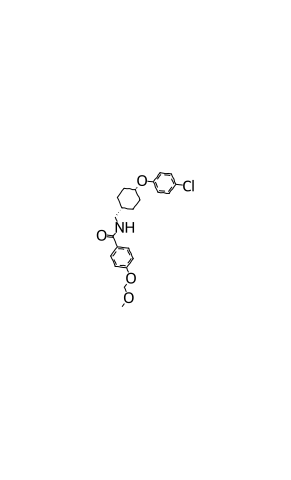 COCOc1ccc(C(=O)NC[C@H]2CC[C@@H](Oc3ccc(Cl)cc3)CC2)cc1